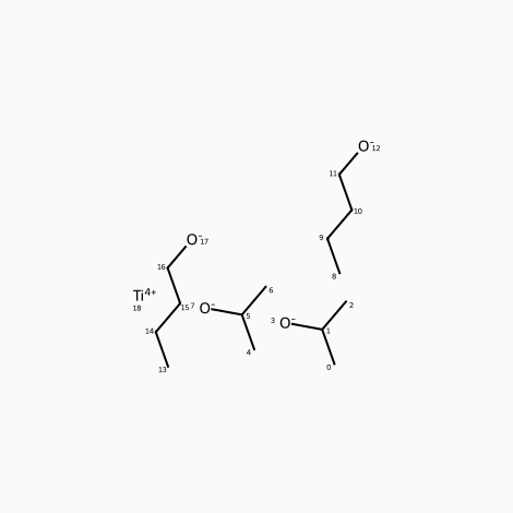 CC(C)[O-].CC(C)[O-].CCCC[O-].CCCC[O-].[Ti+4]